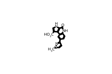 Cn1ccc(-c2ccc3[nH]c(=O)c4[nH]cc(C(=O)O)c4c3c2)n1